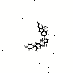 C=CCC1Cc2cc(N3C=CC(Nc4ccc(N5CCN(C)CC5)c(C)c4)N3)ccc2C1(C)O